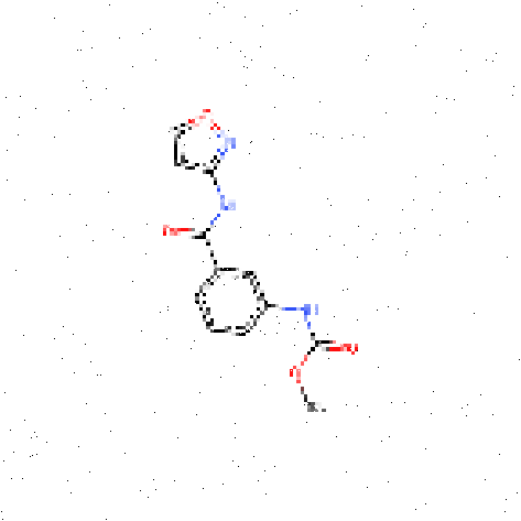 CC(C)(C)OC(=O)Nc1cccc(C(=O)Nc2ccon2)c1